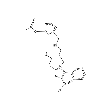 COCCc1nc2c(N)nc3ccccc3c2n1CCCNCc1cccc(OC(C)=O)c1